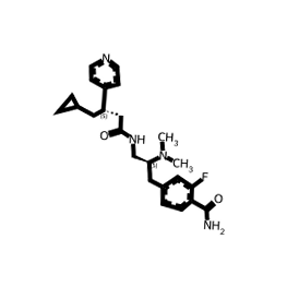 CN(C)[C@H](CNC(=O)C[C@H](CC1CC1)c1ccncc1)Cc1ccc(C(N)=O)c(F)c1